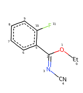 CCOC(=NC#N)c1ccccc1F